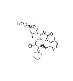 Cc1ccnc(C(C)C)c1-n1c(=O)nc(N2C[C@@H](C)N(C(=O)O)C[C@@H]2C)c2cc(Cl)c(N3CCCCC3)nc21